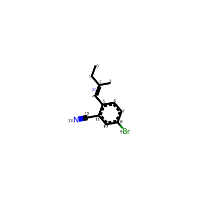 CC/C(C)=C/c1ccc(Br)cc1C#N